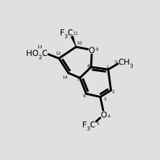 Cc1cc(OC(F)(F)F)cc2c1O[C@H](C(F)(F)F)C(C(=O)O)=C2